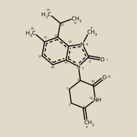 C=C1CCC(n2c(=O)n(C)c3c(C(C)C)c(C)ccc32)C(=O)N1